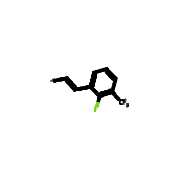 [CH2]C=Cc1cccc(C(F)(F)F)c1F